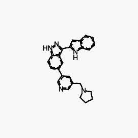 c1ccc2[nH]c(-c3n[nH]c4ccc(-c5cncc(CN6CCCC6)c5)cc34)cc2c1